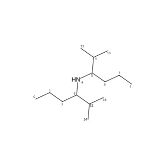 CCCC(NC(CCC)C(C)C)C(C)C